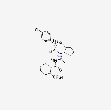 C/C(NC(=O)C1CCCCC1C(=O)O)=C(/C(=O)Nc1ccc(Cl)cc1)C1=C(S)CCC1